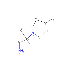 CC1CCN(C(C)(C)CN)CC1